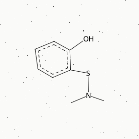 CN(C)Sc1ccccc1O